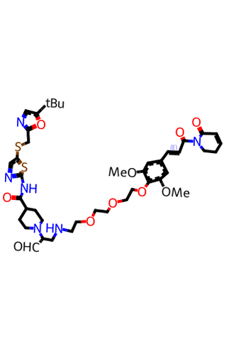 COc1cc(/C=C/C(=O)N2CCC=CC2=O)cc(OC)c1OCCOCCOCCNCC(C=O)N1CCC(C(=O)Nc2ncc(SCc3ncc(C(C)(C)C)o3)s2)CC1